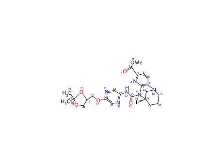 COC(=O)c1ccc2c(n1)N(C(=O)Nc1cnc(OCC3COC(C)(C)O3)cn1)[C@H]1CCCN2C1